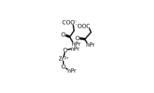 CCCC(=O)CC(=O)[O-].CCCC(=O)CC(=O)[O-].CCC[O][Zr+2][O]CCC